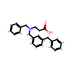 O=C(O)CCN(Cc1ccccc1)Cc1cccc(Cc2ccccc2)c1